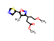 COCCC(CC(=O)OC)c1noc(-c2cncs2)c1C